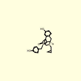 O=C1CC23CCN(CC4CC4)[C@H](Cc4ccc(O)cc42)C3=CN1Cc1ccc(O)cc1